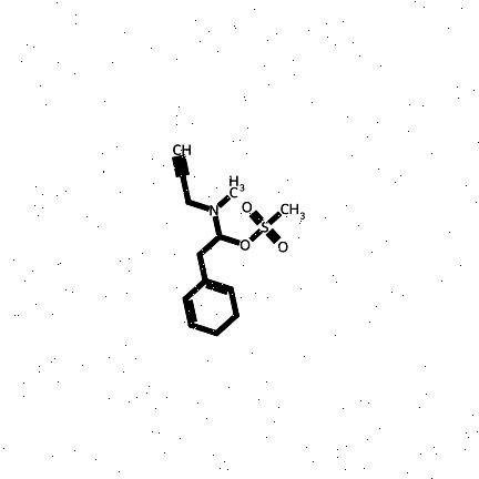 C#CCN(C)C(CC1=CCCC=C1)OS(C)(=O)=O